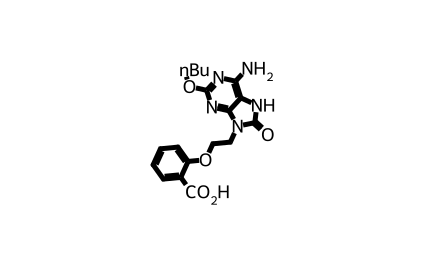 CCCCOc1nc(N)c2[nH]c(=O)n(CCOc3ccccc3C(=O)O)c2n1